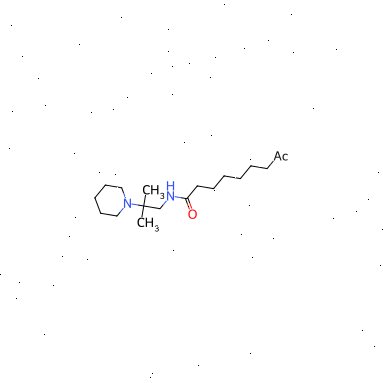 CC(=O)CCCCCCC(=O)NCC(C)(C)N1CCCCC1